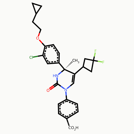 C[C@@]1(c2ccc(OCCC3CC3)c(Cl)c2)NC(=O)N(c2ccc(C(=O)O)cc2)C=C1C1CC(F)(F)C1